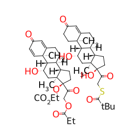 CC(C)(C)C(=O)SCC(=O)[C@@]1(O)CC[C@H]2[C@@H]3CCC4=CC(=O)CC[C@]4(C)[C@H]3[C@@H](O)C[C@@]21C.CCOC(=O)O[C@]1(C(=O)COC(=O)CC)CC[C@H]2[C@@H]3CCC4=CC(=O)C=C[C@]4(C)[C@H]3[C@@H](O)C[C@@]21C